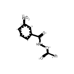 CC(C)C(=O)ONC(=O)c1cccc([N+](=O)[O-])c1